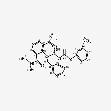 CCCN(CCC)C(=O)c1cccc(C(N)=O)c1[C@H](Cc1ccccc1)C(O)CNCc1cccc([N+](=O)[O-])c1